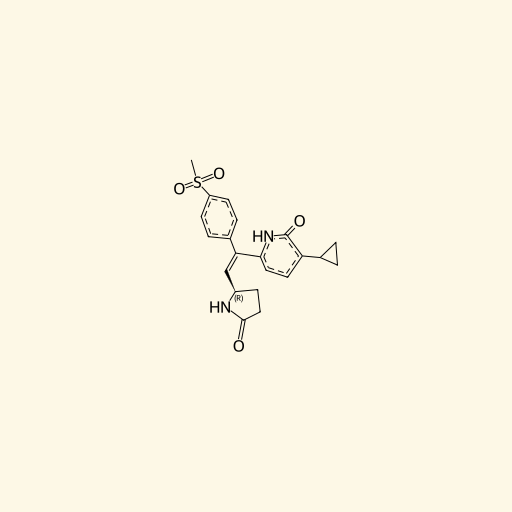 CS(=O)(=O)c1ccc(C(=C[C@H]2CCC(=O)N2)c2ccc(C3CC3)c(=O)[nH]2)cc1